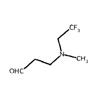 CN(CCC=O)CC(F)(F)F